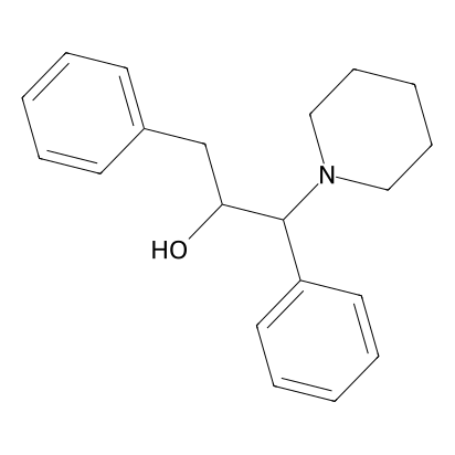 OC(Cc1ccccc1)C(c1ccccc1)N1CCCCC1